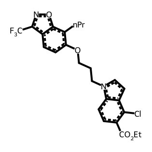 CCCc1c(OCCCn2ccc3c(Cl)c(C(=O)OCC)ccc32)ccc2c(C(F)(F)F)noc12